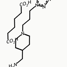 NCC1CCN(CCCn2ccnn2)CC1.O=C(O)CCCCC(=O)O